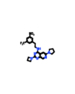 O=[N+]([O-])c1cc(CCNc2nc(N3CCC3)nc3cnc(N4CCCC4)cc23)cc(C(F)(F)F)c1